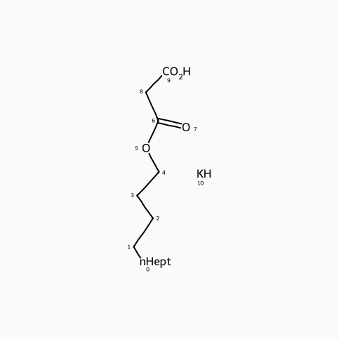 CCCCCCCCCCCOC(=O)CC(=O)O.[KH]